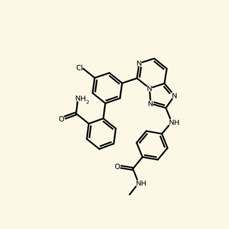 CNC(=O)c1ccc(Nc2nc3ccnc(-c4cc(Cl)cc(-c5ccccc5C(N)=O)c4)n3n2)cc1